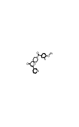 Cc1cc(C(=O)N2CCC3(CC2)CC(=O)C=C(c2cccnc2)O3)ccc1OC(C)C